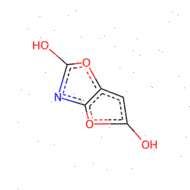 Oc1cc2oc(O)nc2o1